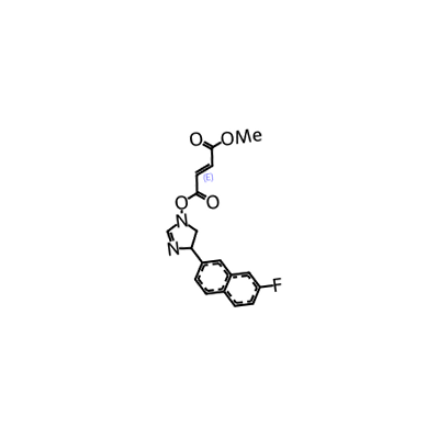 COC(=O)/C=C/C(=O)ON1C=NC(c2ccc3ccc(F)cc3c2)C1